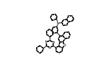 c1ccc(-c2nc(-c3ccccc3)nc(-c3cccc4oc5c6ccccc6c(-c6cccc(N(c7ccccc7)c7ccc8ccccc8c7)c6)cc5c34)n2)cc1